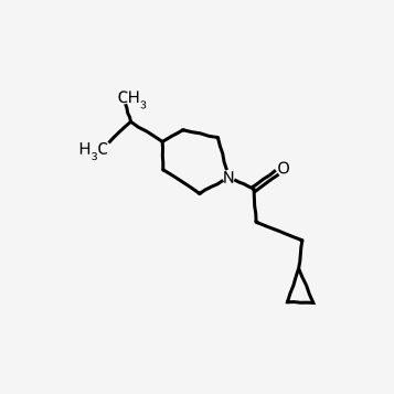 CC(C)C1CCN(C(=O)CCC2CC2)CC1